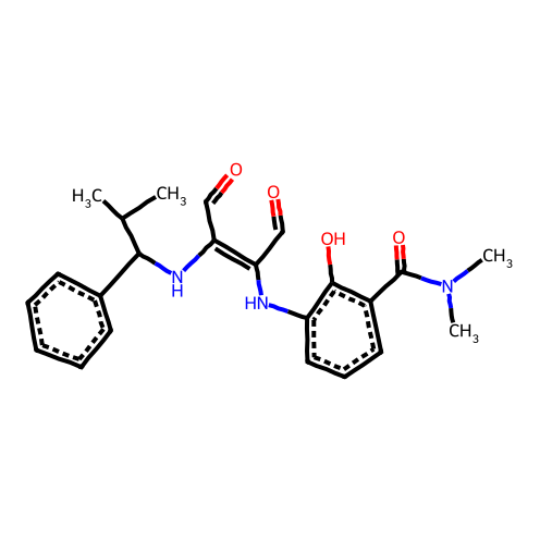 CC(C)C(N/C(C=O)=C(/C=O)Nc1cccc(C(=O)N(C)C)c1O)c1ccccc1